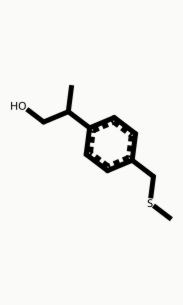 CSCc1ccc(C(C)CO)cc1